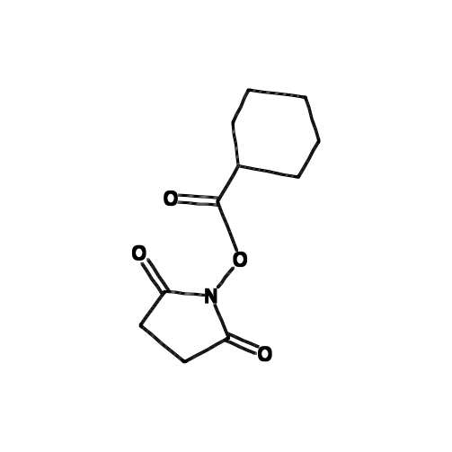 O=C(ON1C(=O)CCC1=O)C1CCCCC1